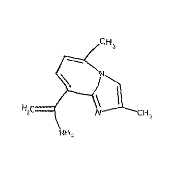 C=C(N)c1ccc(C)n2cc(C)nc12